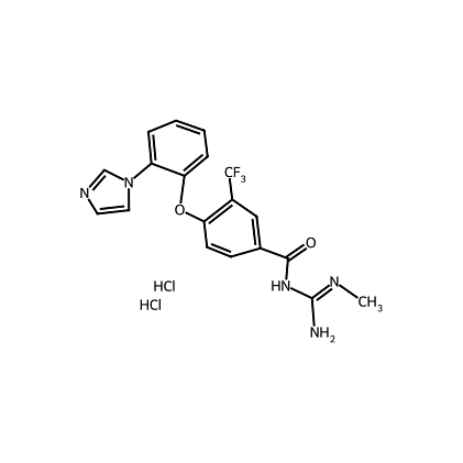 CN=C(N)NC(=O)c1ccc(Oc2ccccc2-n2ccnc2)c(C(F)(F)F)c1.Cl.Cl